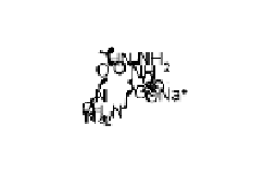 C=C(C)C(=O)OCCN=C=O.N=C(N)NCCCCN.O=S(=O)([O-])[O-].[Na+].[Na+]